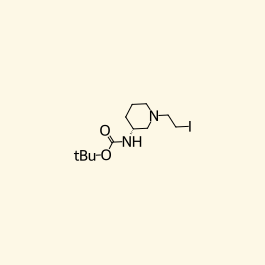 CC(C)(C)OC(=O)N[C@@H]1CCCN(CCI)C1